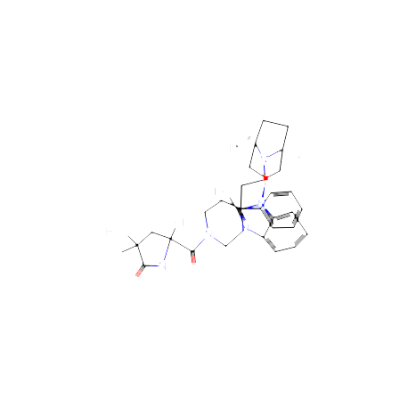 Cc1nc2ccccc2n1[C@H]1C[C@H]2CC[C@@H](C1)N2CCC1(c2ccccc2)CCN(C(=O)C2(C)CC(C)(C)C(=O)N2)CC1